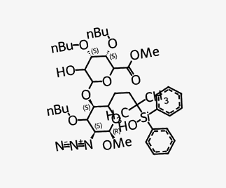 CCCCOC1[C@@H](OC2OC(C(=O)OC)[C@@H](OCCCC)[C@@H](OCCCC)C2O)C(CCC(C)(C)[Si](O)(c2ccccc2)c2ccccc2)O[C@@H](OC)[C@H]1N=[N+]=[N-]